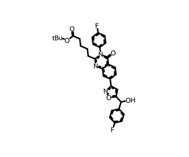 CC(C)(C)OC(=O)CCCCc1nc2cc(-c3cc(C(O)c4ccc(F)cc4)on3)ccc2c(=O)n1-c1ccc(F)cc1